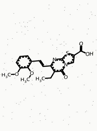 CCc1c(/C=C/c2cccc(OC)c2OC)nc2sc(C(=O)O)cn2c1=O